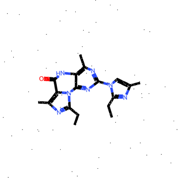 CCc1nc(C)cn1-c1nc(C)c2[nH]c(=O)c3c(C)nc(CC)n3c2n1